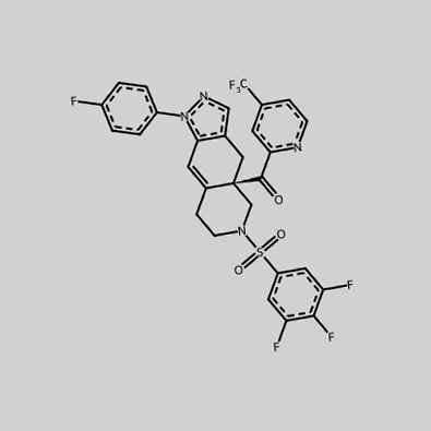 O=C(c1cc(C(F)(F)F)ccn1)[C@]12Cc3cnn(-c4ccc(F)cc4)c3C=C1CCN(S(=O)(=O)c1cc(F)c(F)c(F)c1)C2